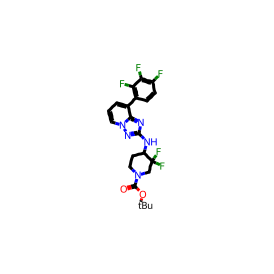 CC(C)(C)OC(=O)N1CCC(Nc2nc3c(-c4ccc(F)c(F)c4F)cccn3n2)C(F)(F)C1